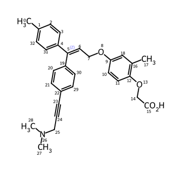 Cc1ccc(/C(=C/COc2ccc(OCC(=O)O)c(C)c2)c2ccc(C#CCN(C)C)cc2)cc1